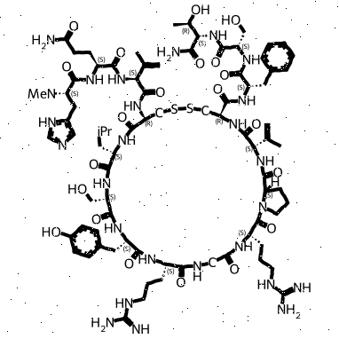 C=C(C)[C@H](NC(=O)[C@H](CCC(N)=O)NC(=O)[C@H](Cc1cnc[nH]1)NC)C(=O)N[C@H]1CSSC[C@@H](C(=O)N[C@@H](Cc2ccccc2)C(=O)N[C@@H](CO)C(=O)N[C@H](C(N)=O)[C@@H](C)O)NC(=O)[C@H](C(=C)C)NC(=O)[C@@H]2CCCN2C(=O)[C@H](CCCNC(=N)N)NC(=O)CNC(=O)[C@H](CCCNC(=N)N)NC(=O)[C@H](Cc2ccc(O)cc2)NC(=O)[C@H](CO)NC(=O)[C@H](CC(C)C)NC1=O